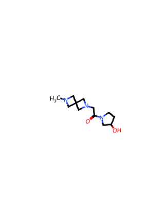 CN1CC2(C1)CN(CC(=O)N1CCC(O)C1)C2